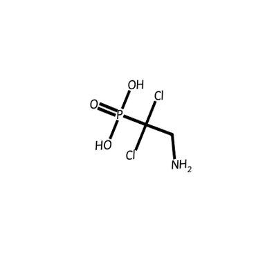 NCC(Cl)(Cl)P(=O)(O)O